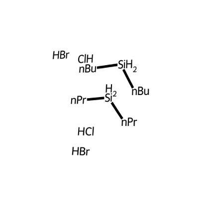 Br.Br.CCCC[SiH2]CCCC.CCC[SiH2]CCC.Cl.Cl